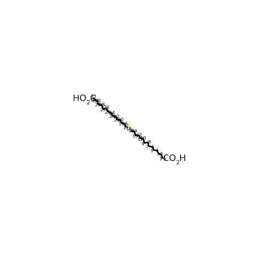 O=C(O)CCCCCCCCCCCCCCCSCCCCCCCCCCCCCCCC(=O)O